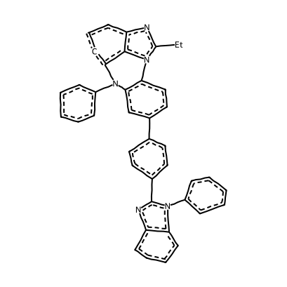 CCc1nc2cccc3c2n1-c1ccc(-c2ccc(-c4nc5ccccc5n4-c4ccccc4)cc2)cc1N3c1ccccc1